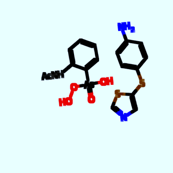 CC(=O)Nc1ccccc1[As](=O)(O)OO.Nc1ccc(Sc2cncs2)cc1